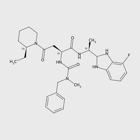 CC[C@H]1CCCCN1C(=O)C[C@H](NC(=O)N(C)Cc1ccccc1)C(=O)N[C@@H](C)C1Nc2cccc(F)c2N1